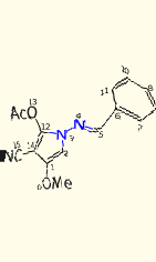 COc1cn(/N=C/c2ccccc2)c(OC(C)=O)c1C#N